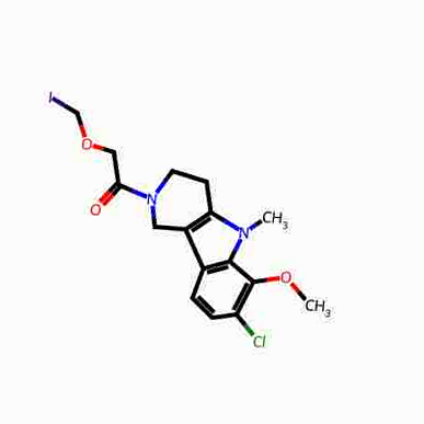 COc1c(Cl)ccc2c3c(n(C)c12)CCN(C(=O)COCI)C3